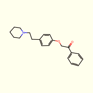 O=C(COc1ccc(CCN2CCCCC2)cc1)c1ccccc1